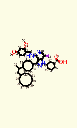 COc1ccc(CNc2ncc(I)c3c2c(C2CCCC(C(C)CC4CCCCCCCCC4)CCC2)nn3[C@@H]2CCC[C@@H](C(=O)O)C2)c(OC)c1